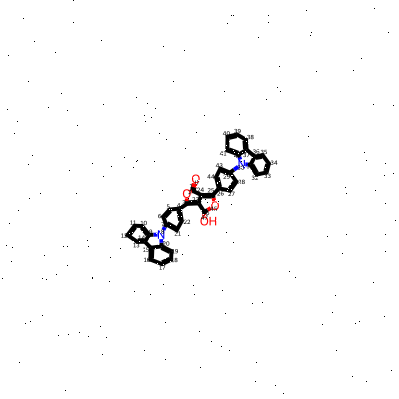 O=C1OC(c2ccc(-n3c4ccccc4c4ccccc43)cc2)=C2C1=C(c1ccc(-n3c4ccccc4c4ccccc43)cc1)OC2O